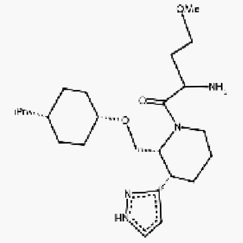 COCCC(N)C(=O)N1CCC[C@H](c2cc[nH]n2)[C@@H]1CO[C@H]1CC[C@@H](C(C)C)CC1